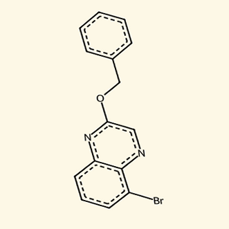 Brc1cccc2nc(OCc3ccccc3)cnc12